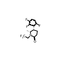 C[C@@H]1[C@H](c2c(F)ccc(F)c2F)CCC(=O)N1CC(F)(F)F